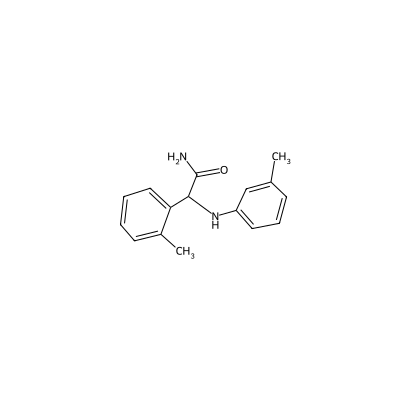 Cc1cccc(NC(C(N)=O)c2ccccc2C)c1